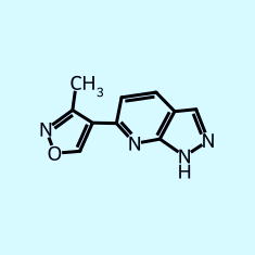 Cc1nocc1-c1ccc2cn[nH]c2n1